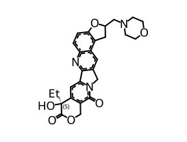 CC[C@@]1(O)C(=O)OCc2c1cc1n(c2=O)Cc2cc3c4c(ccc3nc2-1)OC(CN1CCOCC1)C4